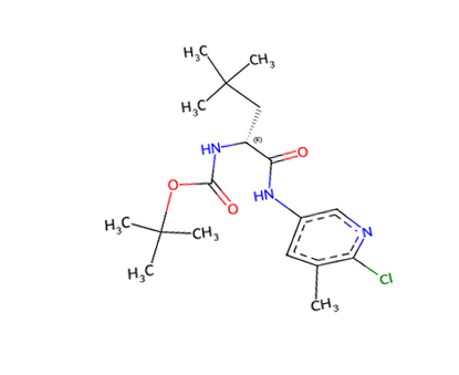 Cc1cc(NC(=O)[C@@H](CC(C)(C)C)NC(=O)OC(C)(C)C)cnc1Cl